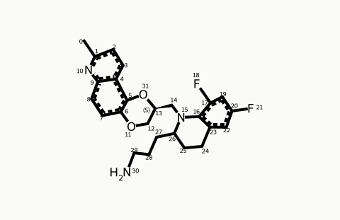 Cc1ccc2c3c(ccc2n1)OC[C@H](CN1c2c(F)cc(F)cc2CCC1CCCN)O3